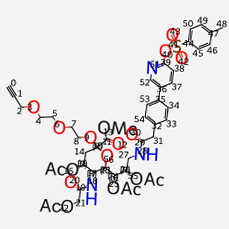 C#CCOCCOCCO[C@]1(C(=O)OC)C[C@H](OC(C)=O)[C@@H](NC(=O)COC(C)=O)[C@H]([C@H](OC(C)=O)[C@@H](CNC(=O)Cc2ccc(-c3ccc(OS(=O)(=O)c4ccc(C)cc4)nc3)cc2)OC(C)=O)O1